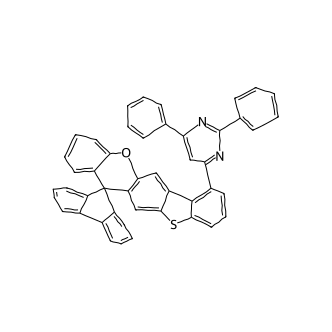 c1ccc(-c2cc(-c3cccc4sc5cc6c(cc5c34)Oc3ccccc3C63c4ccccc4-c4ccccc43)nc(-c3ccccc3)n2)cc1